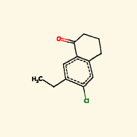 CCc1cc2c(cc1Cl)CCCC2=O